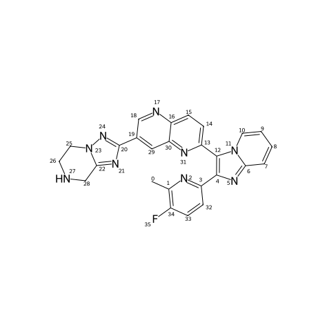 Cc1nc(-c2nc3ccccn3c2-c2ccc3ncc(-c4nc5n(n4)CCNC5)cc3n2)ccc1F